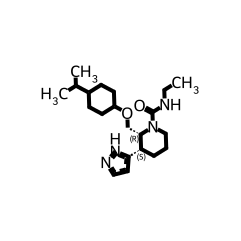 CCNC(=O)N1CCC[C@H](c2ccn[nH]2)[C@@H]1COC1CCC(C(C)C)CC1